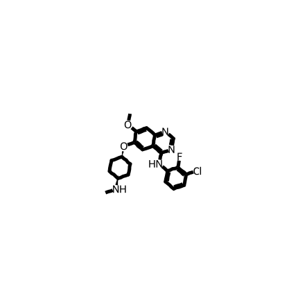 CN[C@H]1CC[C@H](Oc2cc3c(Nc4cccc(Cl)c4F)ncnc3cc2OC)CC1